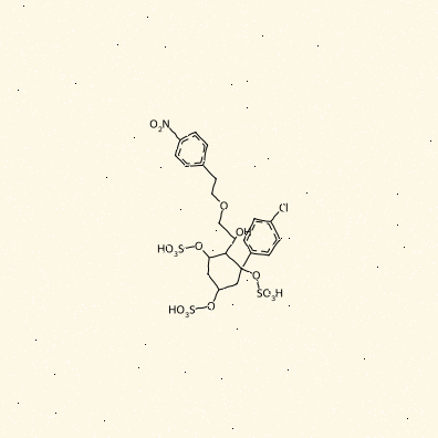 O=[N+]([O-])c1ccc(CCOCC(O)C2C(OS(=O)(=O)O)CC(OS(=O)(=O)O)CC2(OS(=O)(=O)O)c2ccc(Cl)cc2)cc1